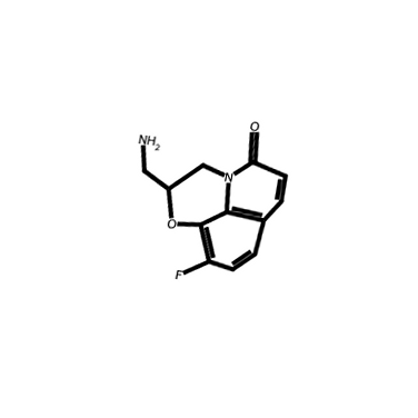 NCC1Cn2c(=O)ccc3ccc(F)c(c32)O1